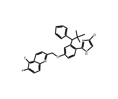 CC(C)(C)C(c1ccccc1)c1cc(OCc2ccc3c(F)c(F)ccc3n2)ccc1-c1nc(Cl)c[nH]1